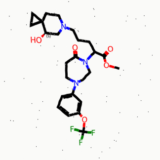 COC(=O)C(CCCN1CCC2(CC2)[C@H](O)C1)N1CCN(c2cccc(OC(F)(F)F)c2)CCC1=O